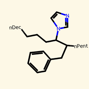 CCCCCCCCCCCCCC(C(CCCCC)Cc1ccccc1)n1ccnc1